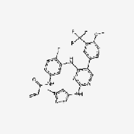 C=CC(=O)Nc1ccc(F)c(Nc2nc(Nc3cnn(C)c3)ncc2-c2ccc(OC)c(C(F)(F)F)c2)c1